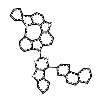 c1ccc2c(c1)ccc1cc(-c3nc(-n4c5ccc6sc7ccc8c9ccccc9n9c%10cccc4c%10c5c6c7c89)nc4sc5ccccc5c34)ccc12